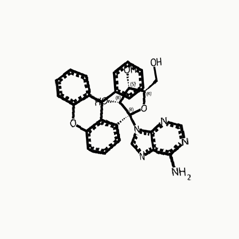 Nc1ncnc2c1ncn2[C@]1(c2cccc3c2C(c2ccccc2)c2ccccc2O3)O[C@H](CO)[C@@H](O)[C@H]1O